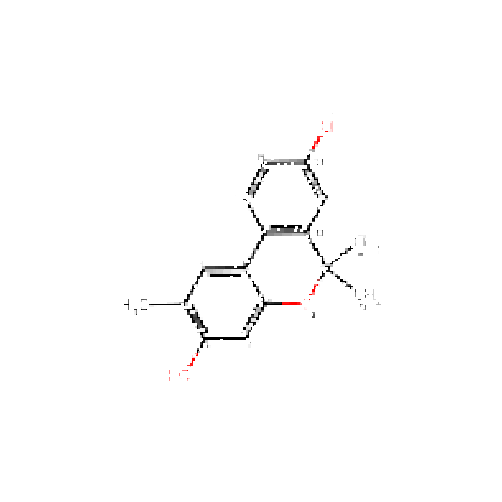 Cc1cc2c(cc1O)OC(C)(C)c1cc(O)ccc1-2